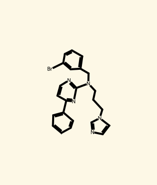 Brc1cccc(CN(CCCn2ccnc2)c2nccc(-c3cc[c]cc3)n2)c1